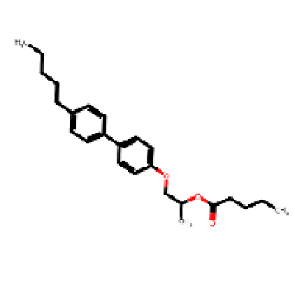 CCCCCc1ccc(-c2ccc(OCC(C)OC(=O)CCCC)cc2)cc1